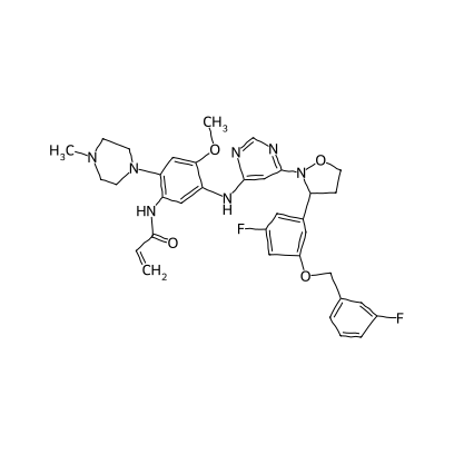 C=CC(=O)Nc1cc(Nc2cc(N3OCCC3c3cc(F)cc(OCc4cccc(F)c4)c3)ncn2)c(OC)cc1N1CCN(C)CC1